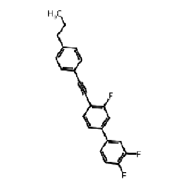 CCCc1ccc(C#Cc2ccc(-c3ccc(F)c(F)c3)cc2F)cc1